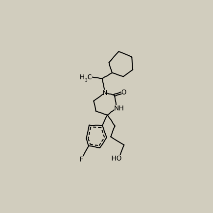 CC(C1CCCCC1)N1CCC(CCCO)(c2ccc(F)cc2)NC1=O